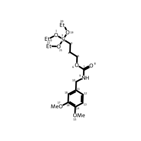 CCO[Si](CCCOC(=O)NCc1ccc(OC)c(OC)c1)(OCC)OCC